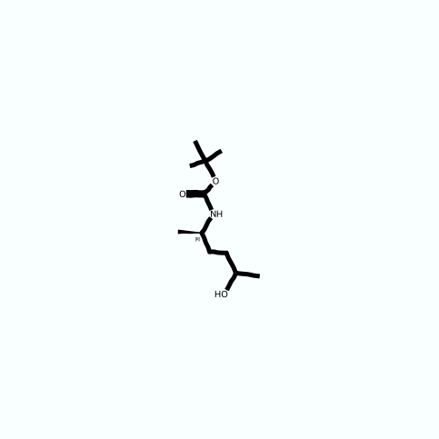 CC(O)CC[C@@H](C)NC(=O)OC(C)(C)C